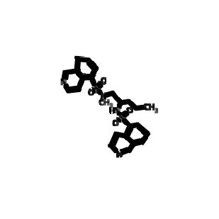 CCCC(CN(C)S(=O)(=O)c1cccc2cnccc12)NS(=O)(=O)c1cccc2cnccc12